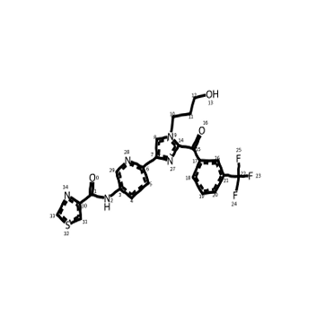 O=C(Nc1ccc(-c2cn(CCCO)c(C(=O)c3cccc(C(F)(F)F)c3)n2)nc1)c1cscn1